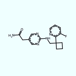 NC(=O)Cc1cnc(NCC2(c3ncccc3F)CCC2)nc1